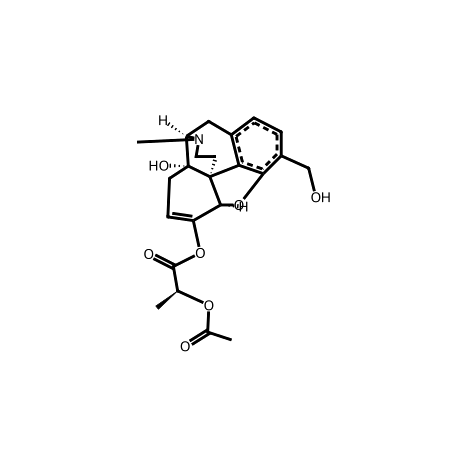 CC(=O)O[C@@H](C)C(=O)OC1=CC[C@@]2(O)[C@H]3Cc4ccc(CO)c5c4[C@@]2(CCN3C)[C@H]1O5